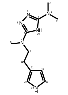 CN(C)c1nnc(N(C)CCc2cc[nH]c2)[nH]1